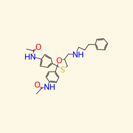 CC(=O)Nc1ccc(C2(c3ccc(NC(C)=O)cc3)OC(CNCCCc3ccccc3)CS2)cc1